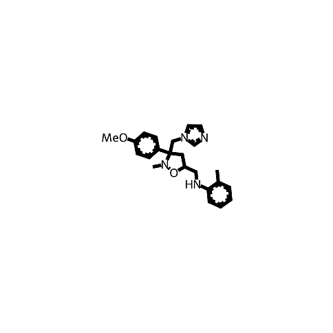 COc1ccc(C2(Cn3ccnc3)CC(CNc3ccccc3C)ON2C)cc1